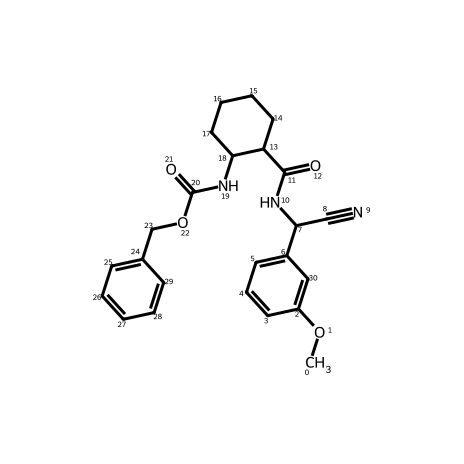 COc1cccc(C(C#N)NC(=O)C2CCCCC2NC(=O)OCc2ccccc2)c1